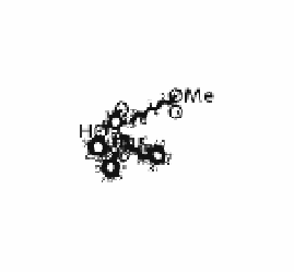 COC(=O)CCCC=CC[C@H]1C(=O)C[C@@H](O)[C@H]1C=C[C@@H](O[Si](c1ccccc1)(c1ccccc1)C(C)(C)C)c1cc2ccccc2s1